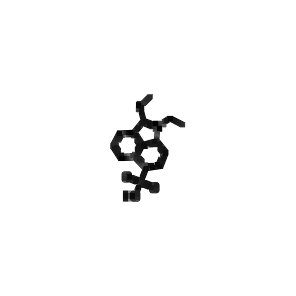 CC[N+]1=C(SC)c2cccc3c(S(=O)(=O)O)ccc1c23